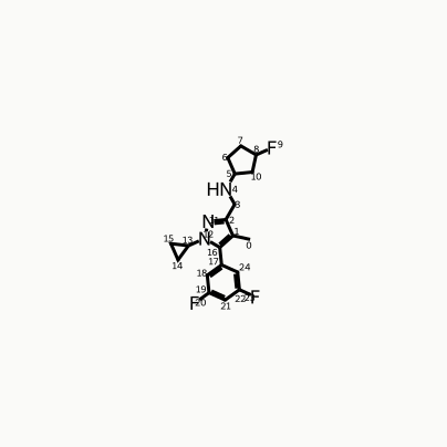 Cc1c(CNC2CCC(F)C2)nn(C2CC2)c1-c1cc(F)cc(F)c1